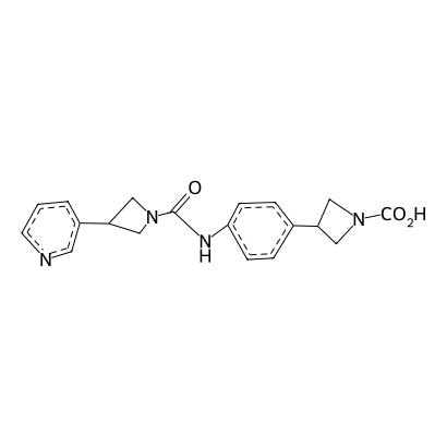 O=C(O)N1CC(c2ccc(NC(=O)N3CC(c4cccnc4)C3)cc2)C1